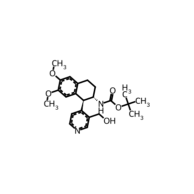 COc1cc2c(cc1OC)[C@H](c1ccncc1CO)[C@@H](NC(=O)OC(C)(C)C)CC2